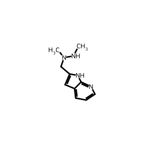 CNN(C)Cc1cc2cccnc2[nH]1